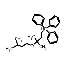 CC(C)CCOC(C)(C)CC[PH](c1ccccc1)(c1ccccc1)c1ccccc1